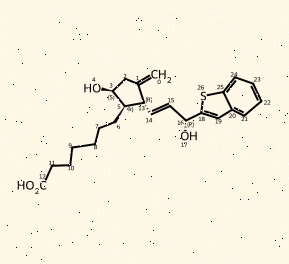 C=C1C[C@H](O)[C@H](CCCCCCC(=O)O)[C@H]1C=C[C@@H](O)c1cc2ccccc2s1